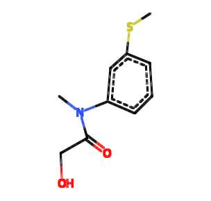 CSc1cccc(N(C)C(=O)CO)c1